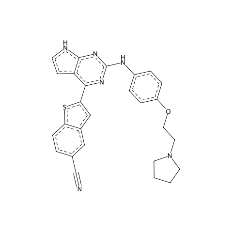 N#Cc1ccc2sc(-c3nc(Nc4ccc(OCCN5CCCC5)cc4)nc4[nH]ccc34)cc2c1